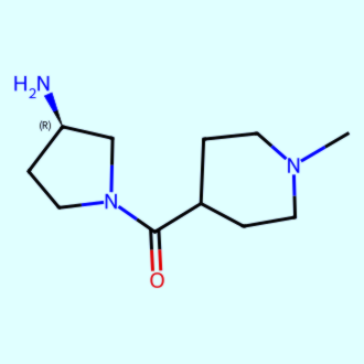 CN1CCC(C(=O)N2CC[C@@H](N)C2)CC1